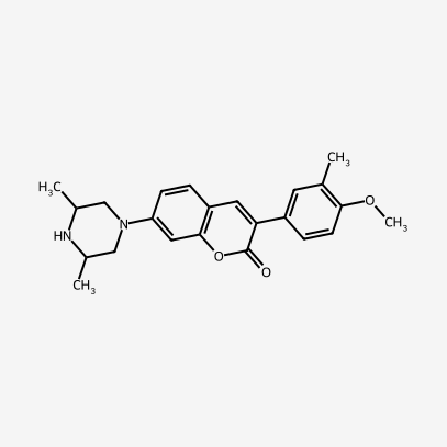 COc1ccc(-c2cc3ccc(N4CC(C)NC(C)C4)cc3oc2=O)cc1C